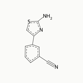 N#Cc1cccc(-c2csc(N)n2)c1